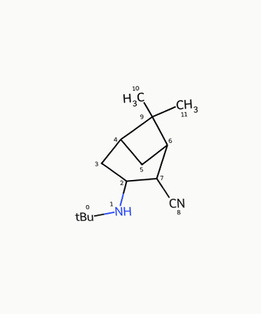 CC(C)(C)NC1CC2CC(C1C#N)C2(C)C